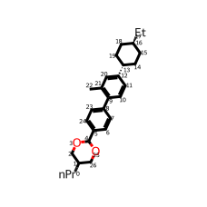 CCCC1COC(c2ccc(-c3ccc([C@H]4CC[C@H](CC)CC4)cc3C)cc2)OC1